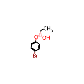 CCB(O)Oc1ccc(Br)cc1